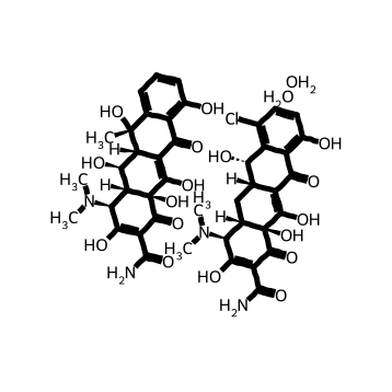 CN(C)[C@@H]1C(O)=C(C(N)=O)C(=O)[C@@]2(O)C(O)=C3C(=O)c4c(O)ccc(Cl)c4[C@@H](O)[C@H]3C[C@@H]12.CN(C)[C@@H]1C(O)=C(C(N)=O)C(=O)[C@@]2(O)C(O)=C3C(=O)c4c(O)cccc4[C@@](C)(O)[C@H]3[C@H](O)[C@@H]12.O.O